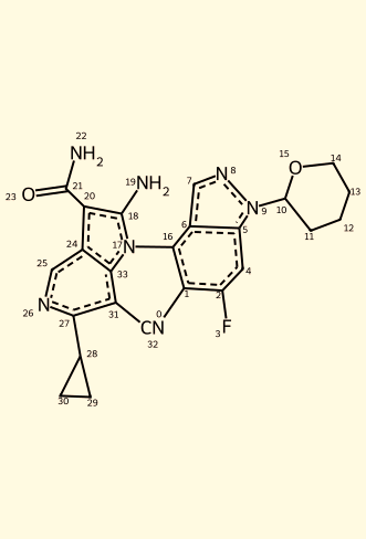 Cc1c(F)cc2c(cnn2C2CCCCO2)c1-n1c(N)c(C(N)=O)c2cnc(C3CC3)c(C#N)c21